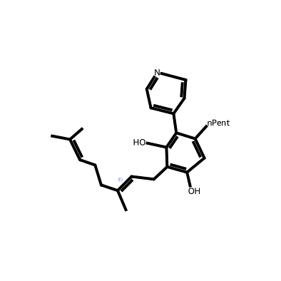 CCCCCc1cc(O)c(C/C=C(\C)CCC=C(C)C)c(O)c1-c1ccncc1